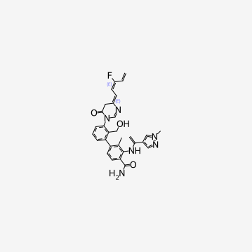 C=C/C(F)=C\C=C1/CC(=O)N(c2cccc(-c3ccc(C(N)=O)c(NC(=C)c4cnn(C)c4)c3C)c2CO)C=N1